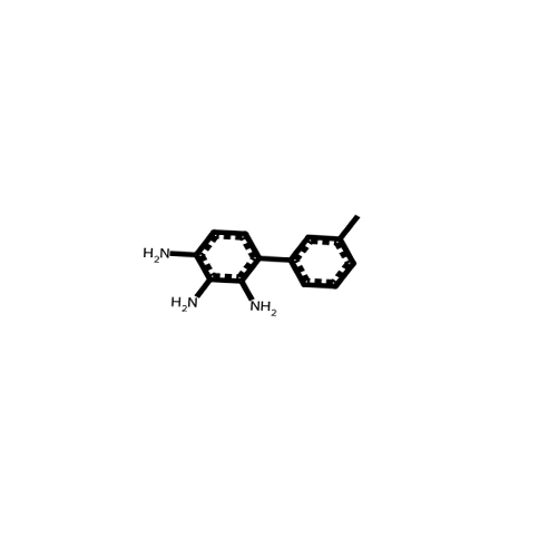 Cc1cccc(-c2ccc(N)c(N)c2N)c1